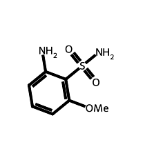 COc1cccc(N)c1S(N)(=O)=O